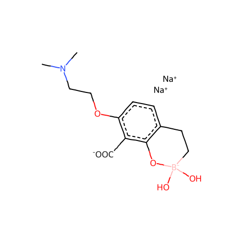 CN(C)CCOc1ccc2c(c1C(=O)[O-])O[B-](O)(O)CC2.[Na+].[Na+]